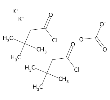 CC(C)(C)CC(=O)Cl.CC(C)(C)CC(=O)Cl.O=C([O-])[O-].[K+].[K+]